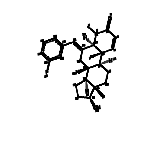 CN1C(=O)C=C[C@]2(C)[C@H]3CC[C@]4(C)[C@@H](O)CC[C@H]4[C@@H]3CC(=Cc3cccc(F)c3)[C@@H]12